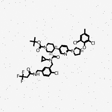 Cc1cc(Cl)c(O[C@@H]2CCN(c3ccc([C@@H]4CCN(C(=O)OC(C)(C)C)C[C@H]4C(=O)N(Cc4cc(CNC(=O)CC(F)(F)F)ccc4Cl)C4CC4)cn3)C2)c(Cl)c1